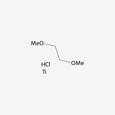 COCCOC.Cl.[Ti]